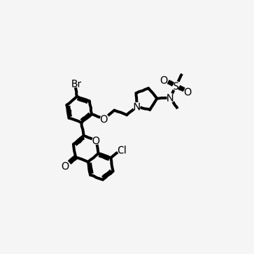 CN(C1CCN(CCOc2cc(Br)ccc2-c2cc(=O)c3cccc(Cl)c3o2)C1)S(C)(=O)=O